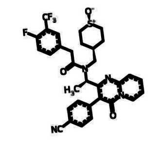 C[C@H](c1nc2ccccn2c(=O)c1-c1ccc(C#N)cc1)N(C[C@H]1CC[S@@+]([O-])CC1)C(=O)Cc1ccc(F)c(C(F)(F)F)c1